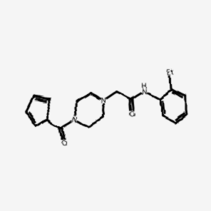 CCc1ccccc1NC(=O)CN1CCN(C(=O)C2C=CC=C2)CC1